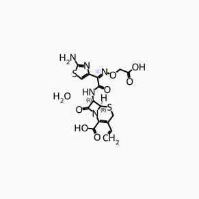 C=CC1=C(C(=O)O)N2C(=O)[C@@H](NC(=O)/C(=N\OCC(=O)O)c3csc(N)n3)[C@H]2SC1.O